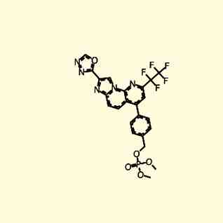 COP(=O)(OC)OCc1ccc(-c2cc(C(F)(F)C(F)(F)F)nc3c2ccc2nc(-c4nnco4)cn23)cc1